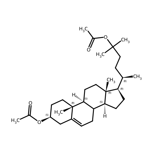 CC(=O)O[C@H]1CC[C@@]2(C)C(=CCC3[C@@H]4CC[C@H]([C@H](C)CCC(C)(C)OC(C)=O)[C@@]4(C)CC[C@@H]32)C1